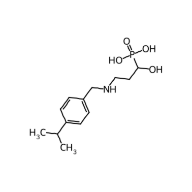 CC(C)c1ccc(CNCCC(O)P(=O)(O)O)cc1